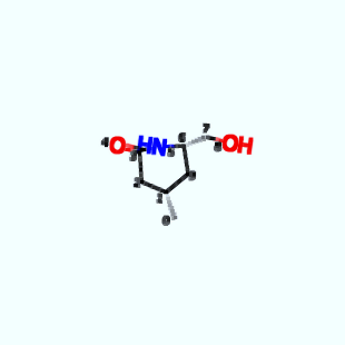 C[C@@H]1CC(=O)N[C@H](CO)C1